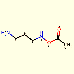 CC(=O)ONCCCN